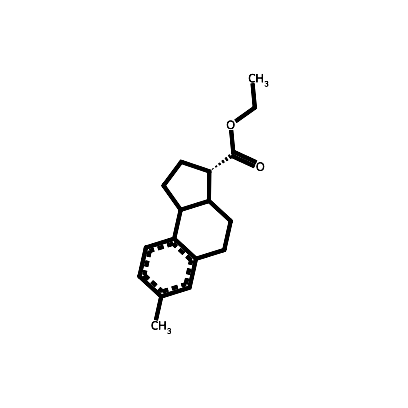 CCOC(=O)[C@H]1CCC2c3ccc(C)cc3CCC21